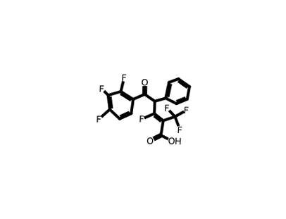 O=C(O)C(=C(F)C(C(=O)c1ccc(F)c(F)c1F)c1ccccc1)C(F)(F)F